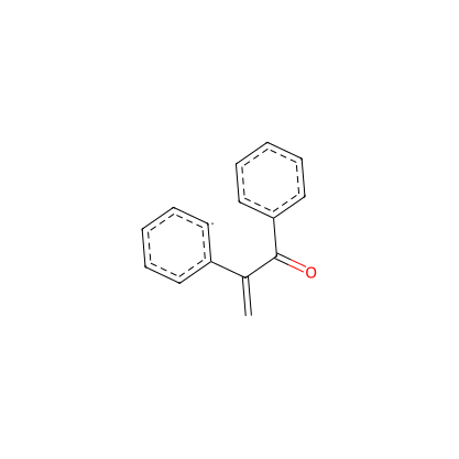 C=C(C(=O)c1ccccc1)c1[c]cccc1